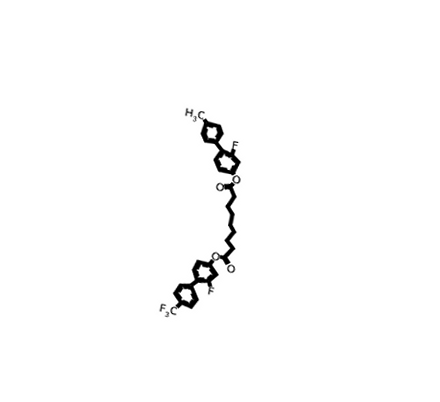 Cc1ccc(-c2ccc(OC(=O)CCCCCCCC(=O)Oc3ccc(-c4ccc(C(F)(F)F)cc4)c(F)c3)cc2F)cc1